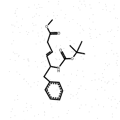 COC(=O)C/C=C/C(Cc1ccccc1)NC(=O)OC(C)(C)C